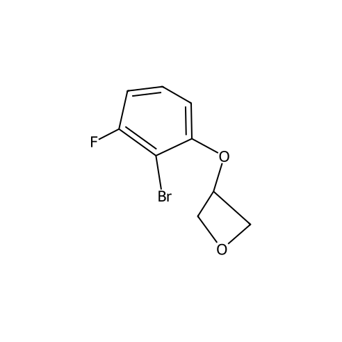 Fc1cccc(OC2COC2)c1Br